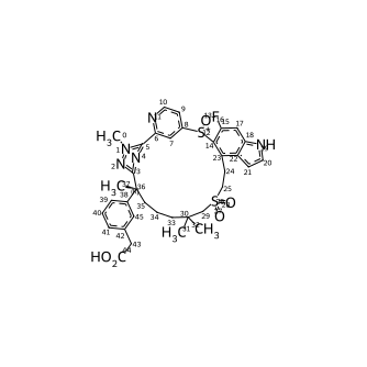 Cn1nc2nc1-c1cc(ccn1)[S+]([O-])c1c(F)cc3[nH]ccc3c1CCS(=O)(=O)CC(C)(C)CCC[C@]2(C)c1cccc(CC(=O)O)c1